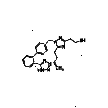 C=CCCc1nc(CCS)nn1Cc1ccc(-c2ccccc2-c2nnn[nH]2)cc1